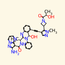 CC(O)C(=O)N1CC(c2c(C#Cc3cccc4c3C(O)N(c3ccccc3)C([C@H](C)NC(=O)c3c(N)nn5cccnc35)=N4)cnn2C)C1